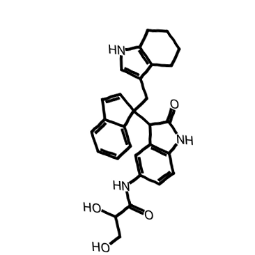 O=C(Nc1ccc2c(c1)C(C1(Cc3c[nH]c4c3CCCC4)C=Cc3ccccc31)C(=O)N2)C(O)CO